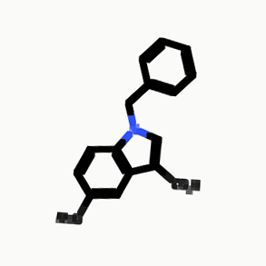 COc1ccc2c(c1)c(C(=O)O)cn2Cc1ccccc1